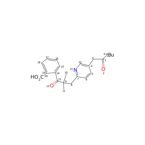 CC(C)(C)C(=O)Cc1ccc(CC(C)(C)C(=O)c2ccccc2C(=O)O)nc1